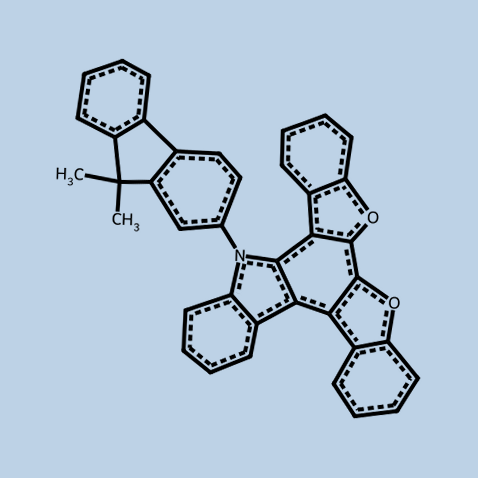 CC1(C)c2ccccc2-c2ccc(-n3c4ccccc4c4c5c6ccccc6oc5c5oc6ccccc6c5c43)cc21